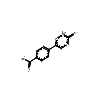 O=C(O)c1ccc(-c2cnc(=O)[nH]n2)cc1